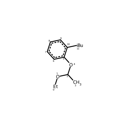 CCOC(C)Oc1ccccc1C(C)CC